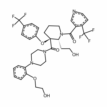 O=C(c1cnccc1C(F)(F)F)N1CCC[C@@](Oc2ccc(C(F)(F)F)cc2)(C(=O)N2CCN(c3ccccc3OCCO)CC2)[C@H]1CCO